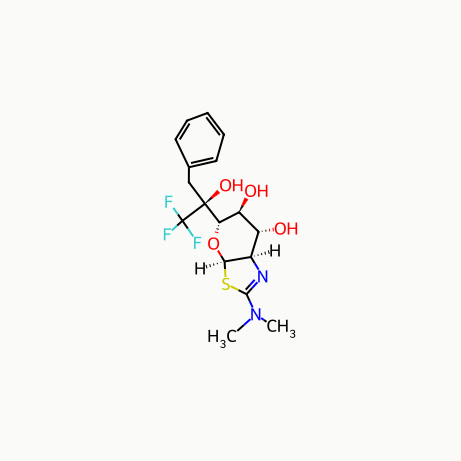 CN(C)C1=N[C@@H]2[C@@H](O)[C@H](O)[C@@H]([C@@](O)(Cc3ccccc3)C(F)(F)F)O[C@@H]2S1